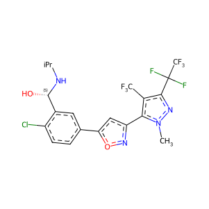 CC(C)N[C@@H](O)c1cc(-c2cc(-c3c(C(F)(F)F)c(C(F)(F)C(F)(F)F)nn3C)no2)ccc1Cl